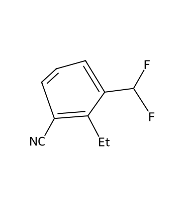 CCc1c(C#N)cccc1C(F)F